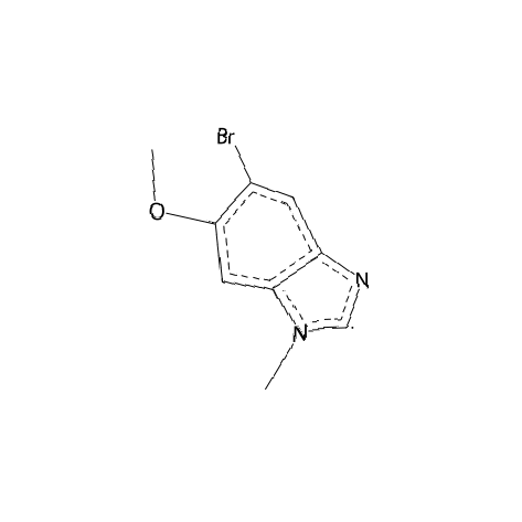 COc1cc2c(cc1Br)n[c]n2C